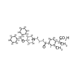 Cc1cc(C(=O)CCCN2CCC(OC(c3ccccc3)c3ccccc3)CC2)ccc1C(C)C(=O)O